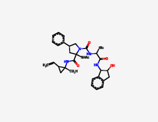 C=CC1CC1(NC(=O)C1(NC(C)=O)CC(c2ccccc2)CN1C(=O)NC(C(=O)NC1c2ccccc2CC1O)C(C)(C)C)C(=O)O